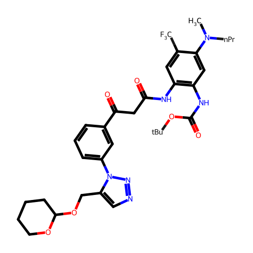 CCCN(C)c1cc(NC(=O)OC(C)(C)C)c(NC(=O)CC(=O)c2cccc(-n3nncc3COC3CCCCO3)c2)cc1C(F)(F)F